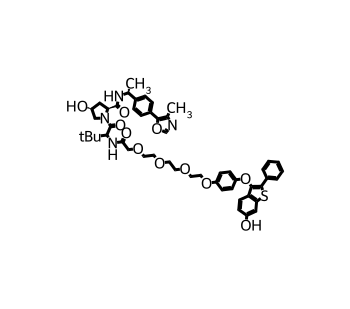 Cc1ncoc1-c1ccc([C@H](C)NC(=O)[C@@H]2C[C@@H](O)CN2C(=O)C(NC(=O)COCCOCCOCCOc2ccc(Oc3c(-c4ccccc4)sc4cc(O)ccc34)cc2)C(C)(C)C)cc1